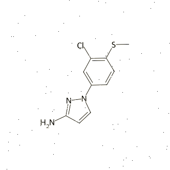 CSc1ccc(-n2ccc(N)n2)cc1Cl